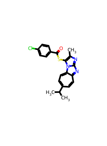 Cc1nc2nc3ccc(C(C)C)ccc3n2c1SC(=O)c1ccc(Cl)cc1